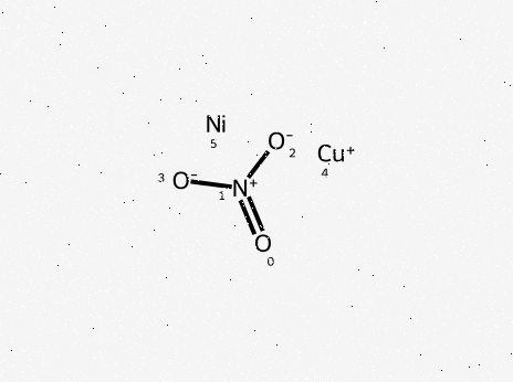 O=[N+]([O-])[O-].[Cu+].[Ni]